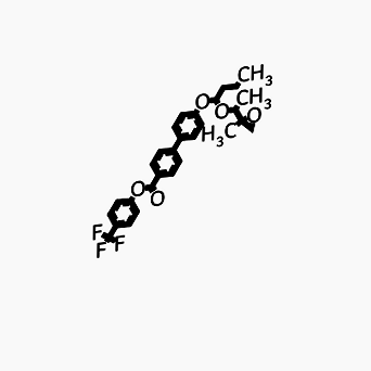 CCCC(Oc1ccc(-c2ccc(C(=O)Oc3ccc(C(F)(F)F)cc3)cc2)cc1)OC(C)C1(C)CO1